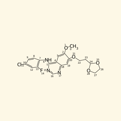 COc1cc2c(Nc3ccc(Cl)cc3F)ncnc2cc1OCCC1OCCO1